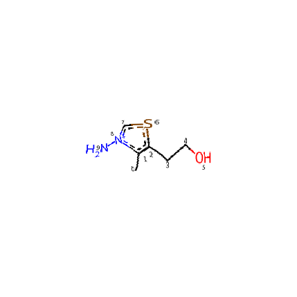 Cc1c(CCO)sc[n+]1N